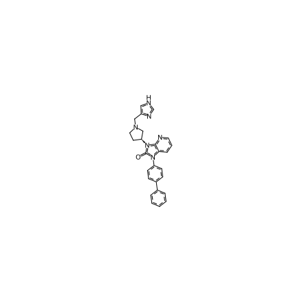 O=c1n(-c2ccc(-c3ccccc3)cc2)c2cccnc2n1[C@H]1CCN(Cc2c[nH]cn2)C1